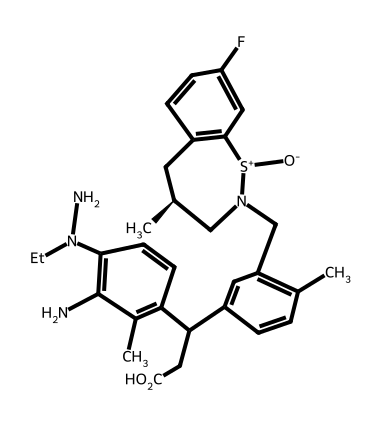 CCN(N)c1ccc(C(CC(=O)O)c2ccc(C)c(CN3C[C@@H](C)Cc4ccc(F)cc4[S+]3[O-])c2)c(C)c1N